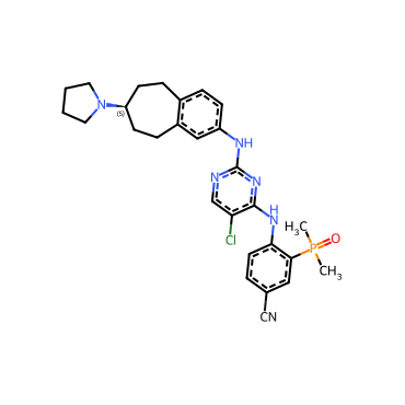 CP(C)(=O)c1cc(C#N)ccc1Nc1nc(Nc2ccc3c(c2)CC[C@@H](N2CCCC2)CC3)ncc1Cl